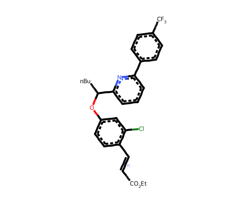 CCCCC(Oc1ccc(/C=C/C(=O)OCC)c(Cl)c1)c1cccc(-c2ccc(C(F)(F)F)cc2)n1